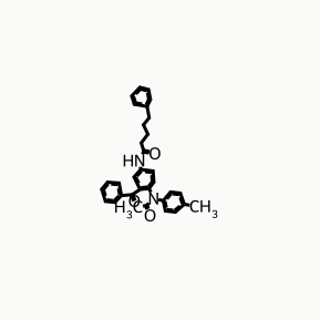 CC(=O)N(c1ccc(C)cc1)c1ccc(NC(=O)CCCCc2ccccc2)cc1C(=O)c1ccccc1